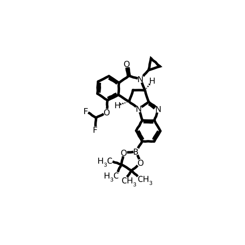 CC1(C)OB(c2ccc3nc4n(c3c2)[C@@H]2C[C@H]4N(C3CC3)C(=O)c3cccc(OC(F)F)c32)OC1(C)C